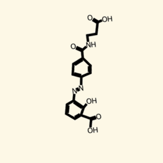 O=C(O)CCNC(=O)c1ccc(N=Nc2cccc(C(=O)O)c2O)cc1